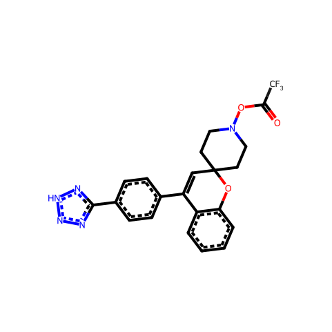 O=C(ON1CCC2(C=C(c3ccc(-c4nn[nH]n4)cc3)c3ccccc3O2)CC1)C(F)(F)F